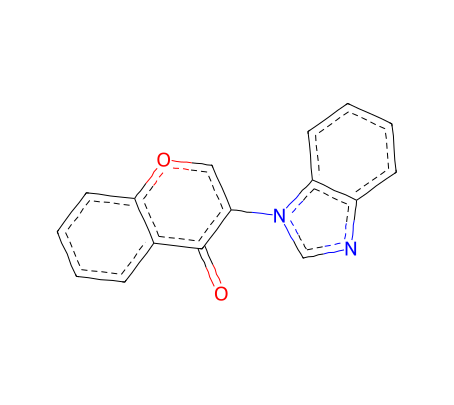 O=c1c(-n2cnc3ccccc32)coc2ccccc12